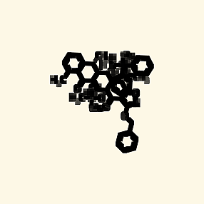 Cc1cccc2c1C(=O)C1=C(O)[C@]3(O[Si](C)(C)C(C)(C)C)C(=O)c4c(OCc5ccccc5)noc4[C@@H](N(C)C)[C@@H]3[C@@H](N[Si](c3ccccc3)(c3ccccc3)C(C)(C)C)[C@@H]1[C@H]2C